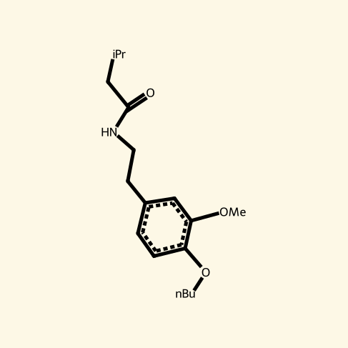 CCCCOc1ccc(CCNC(=O)CC(C)C)cc1OC